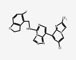 Fc1ccc2c(c1CNc1ncc(-c3cc(Cl)cn4cc(C(F)(F)F)nc34)c3nncn13)CCO2